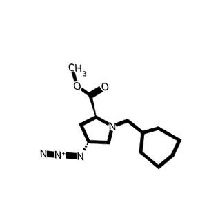 COC(=O)[C@@H]1C[C@@H](N=[N+]=[N-])CN1CC1CCCCC1